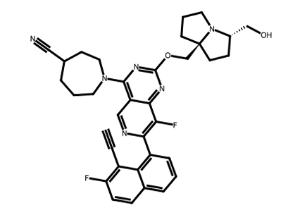 C#Cc1c(F)ccc2cccc(-c3ncc4c(N5CCCC(C#N)CC5)nc(OC[C@@]56CCCN5[C@H](CO)CC6)nc4c3F)c12